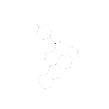 O=C1CC=CC=C1C1C=CC(C(=O)N2CCC(O)CC2)=C2c3sccc3CCN21